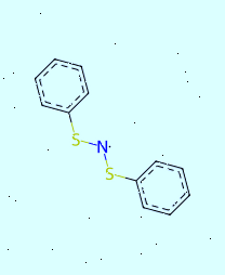 c1ccc(S[N]Sc2ccccc2)cc1